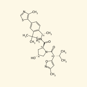 Cc1cc([C@H](C(=O)N2C[C@H](O)C[C@H]2C(=O)N[C@@H](C)c2ccc(-c3scnc3C)cc2C(C)(C)C)C(C)C)on1